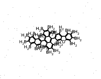 Bc1c(B)c(B)c2c(oc3c(B)c(-c4c5c(B)c(B)c(B)c(B)c5c(-c5c(B)c(B)c6c(B)c(B)c(B)c(B)c6c5B)c5c(B)c(B)c(B)c(B)c45)c(B)c(B)c32)c1B